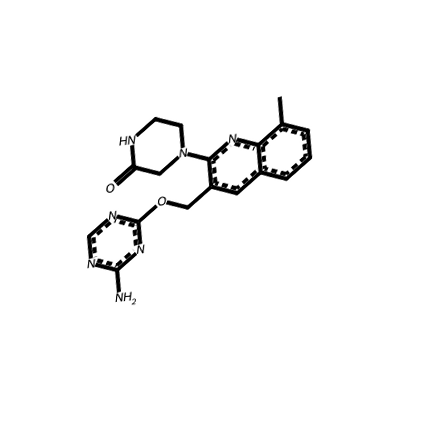 Cc1cccc2cc(COc3ncnc(N)n3)c(N3CCNC(=O)C3)nc12